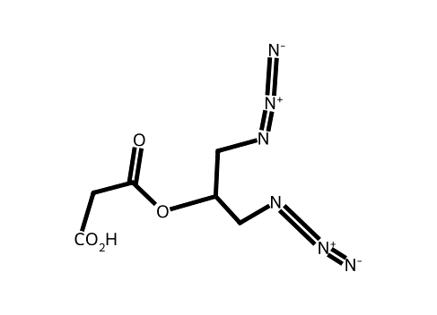 [N-]=[N+]=NCC(CN=[N+]=[N-])OC(=O)CC(=O)O